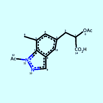 CC(=O)OC(Cc1cc(C)c2c(cnn2C(C)=O)c1)C(=O)O